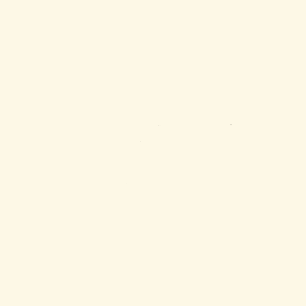 CC1C=C(C(=O)CCO)c2ccccc2C1